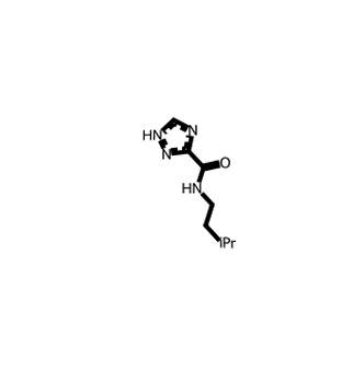 CC(C)CCNC(=O)c1nc[nH]n1